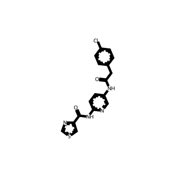 O=C(Cc1ccc(Cl)cc1)Nc1ccc(NC(=O)c2cscn2)nc1